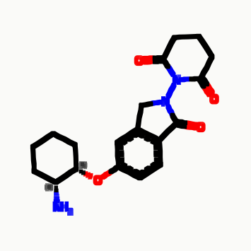 N[C@@H]1CCCC[C@@H]1Oc1ccc2c(c1)CN(N1C(=O)CCCC1=O)C2=O